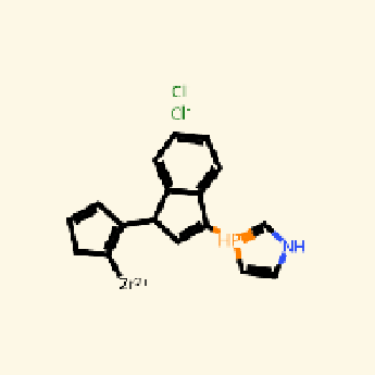 [Cl-].[Cl-].[Zr+2][C]1=C(C2C=C([PH]3=CNC=C3)c3ccccc32)C=CC1